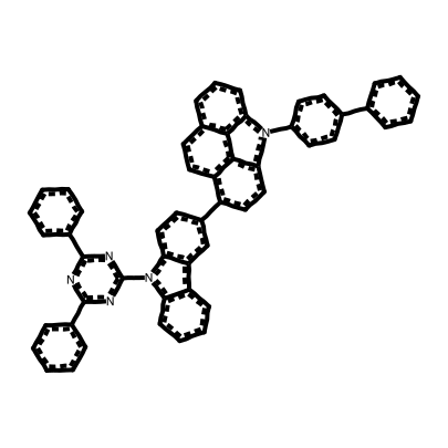 c1ccc(-c2ccc(-n3c4cccc5ccc6c(-c7ccc8c(c7)c7ccccc7n8-c7nc(-c8ccccc8)nc(-c8ccccc8)n7)ccc3c6c54)cc2)cc1